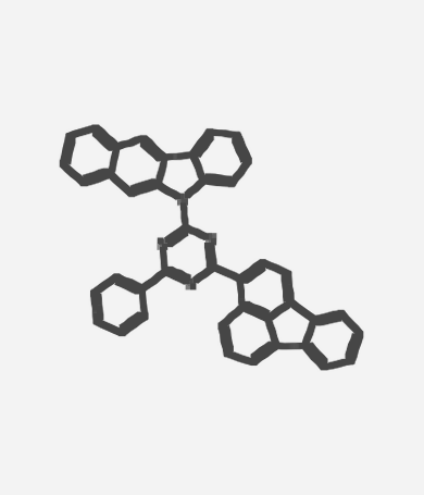 c1ccc(-c2nc(-c3ccc4c5c(cccc35)-c3ccccc3-4)nc(-n3c4ccccc4c4cc5ccccc5cc43)n2)cc1